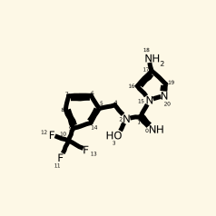 N=C(N(O)Cc1cccc(C(F)(F)F)c1)n1cc(N)cn1